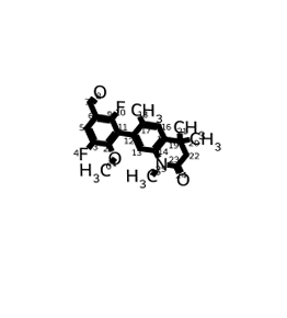 COc1c(F)cc(C=O)c(F)c1-c1cc2c(cc1C)C(C)(C)CC(=O)N2C